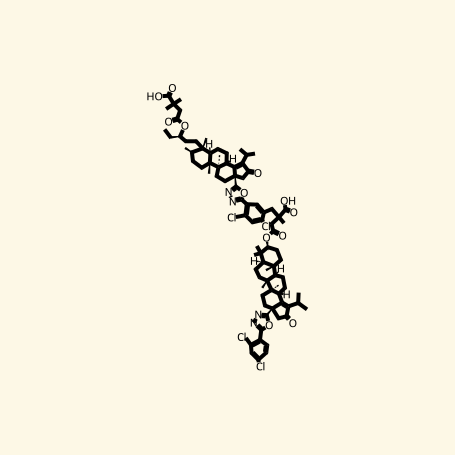 CC[C@H](CC[C@@]1(C)[C@H](C)CC[C@]2(C)[C@@H]1CC[C@@H]1C3=C(C(C)C)C(=O)C[C@]3(c3nnc(-c4cc(CC(C)(CC(=O)O[C@H]5CC[C@]6(C)[C@H]7CC[C@@H]8C9=C(C(C)C)C(=O)C[C@]9(c9nnc(-c%10ccc(Cl)cc%10Cl)o9)CC[C@@]8(C)[C@]7(C)CC[C@H]6C5(C)C)C(=O)O)c(Cl)cc4Cl)o3)CC[C@]12C)OC(=O)CC(C)(C)C(=O)O